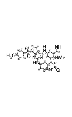 CNc1ccc(Nc2nc(Nc3ccc4c(c3)CCC(=O)N4)nc3c2CCN3S(=O)(=O)c2ccc(C)cc2)cc1C=N